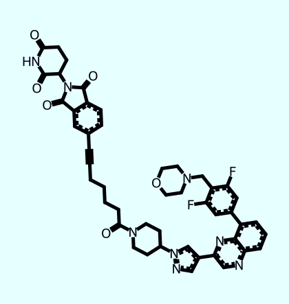 O=C1CCC(N2C(=O)c3ccc(C#CCCCCC(=O)N4CCC(n5cc(-c6cnc7cccc(-c8cc(F)c(CN9CCOCC9)c(F)c8)c7n6)cn5)CC4)cc3C2=O)C(=O)N1